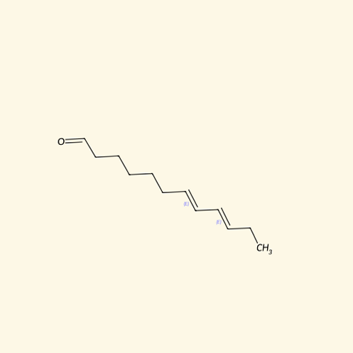 CC/C=C/C=C/CCCCCC=O